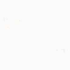 CCCCCCCCCCCCCCCCS(C)(=O)=O